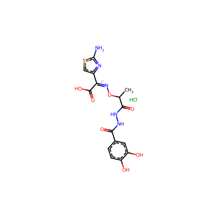 CC(O/N=C(\C(=O)O)c1csc(N)n1)C(=O)NNC(=O)c1ccc(O)c(O)c1.Cl